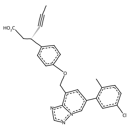 CC#C[C@@H](CC(=O)O)c1ccc(OCc2cc(-c3cc(Cl)ccc3C)cn3ncnc23)cc1